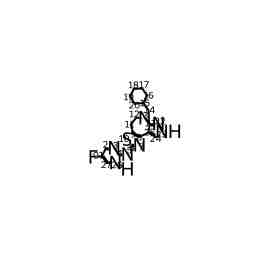 Fc1cnc(Nc2nc3c(s2)CCN(CC2CCCCC2)c2n[nH]cc2-3)nc1